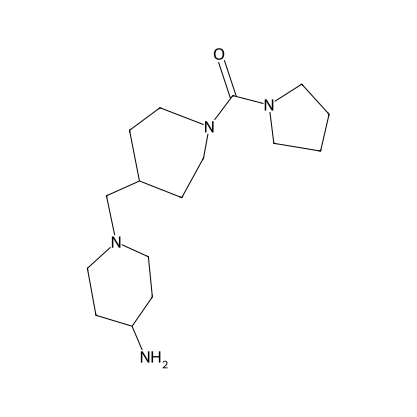 NC1CCN(CC2CCN(C(=O)N3CCCC3)CC2)CC1